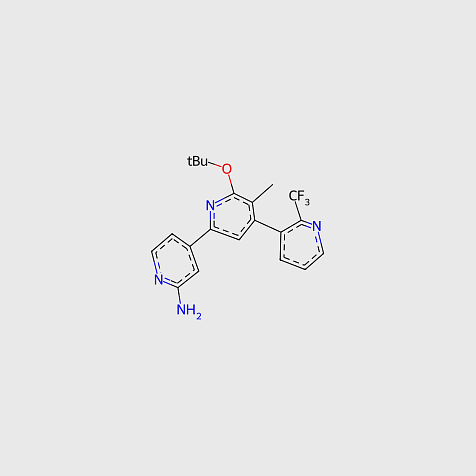 Cc1c(-c2cccnc2C(F)(F)F)cc(-c2ccnc(N)c2)nc1OC(C)(C)C